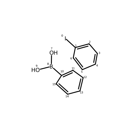 Ic1ccccc1.OB(O)c1ccccc1